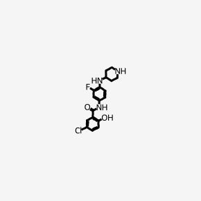 O=C(Nc1ccc(NC2CCNCC2)c(F)c1)c1cc(Cl)ccc1O